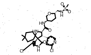 CC1(C)CCC2(CC1)N[C@@H](C(=O)N[C@@H]1CC[C@@H](CNS(C)(=O)=O)OC1)[C@H](c1ccnc(Cl)c1)[C@]21C(=O)Nc2cc(Cl)ccc21